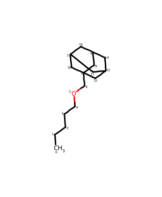 CCCCCOCC12CC3CC(CC(C3)C1)C2